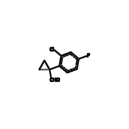 O=CC1(c2ccc(F)cc2Cl)CC1